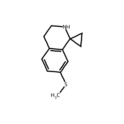 CSc1ccc2c(c1)C1(CC1)NCC2